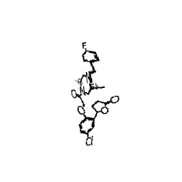 C[C@@H]1CN(Cc2ccc(F)cc2)[C@@H](C)CN1C(=O)COc1ccc(Cl)cc1C1CCC(=O)O1